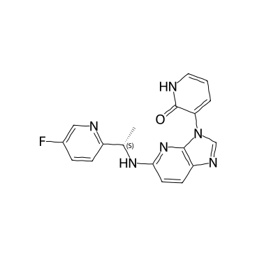 C[C@H](Nc1ccc2ncn(-c3ccc[nH]c3=O)c2n1)c1ccc(F)cn1